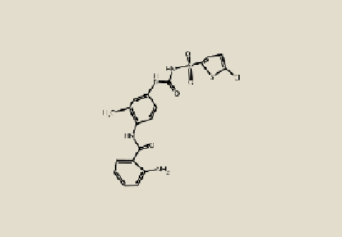 Cc1cc(NC(=O)NS(=O)(=O)c2ccc(Cl)s2)ccc1NC(=O)c1ccccc1N